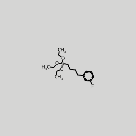 CCO[Si](CCCCc1cccc(F)c1)(OCC)OCC